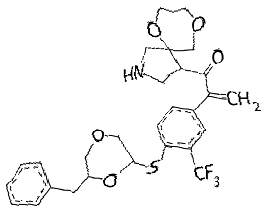 C=C(C(=O)C1CNCC12COCCO2)c1ccc(SC2COCC(Cc3ccccc3)O2)c(C(F)(F)F)c1